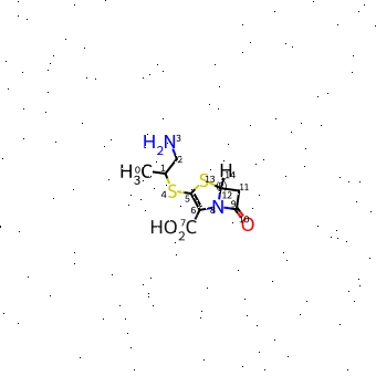 CC(CN)SC1=C(C(=O)O)N2C(=O)C[C@H]2S1